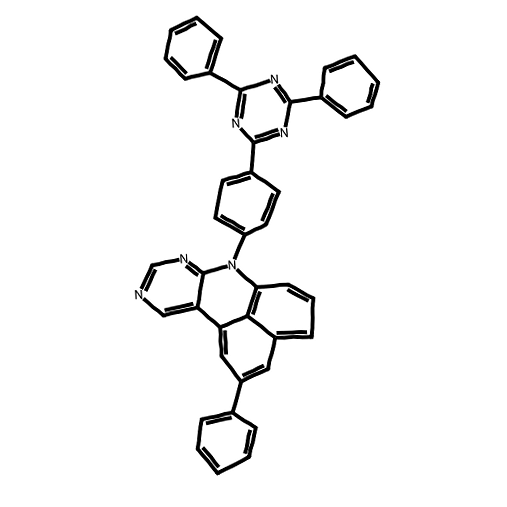 c1ccc(-c2cc3c4c(cccc4c2)N(c2ccc(-c4nc(-c5ccccc5)nc(-c5ccccc5)n4)cc2)c2ncncc2-3)cc1